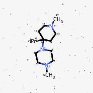 CC(C)C1(N2CCN(C)CC2)CCN(C)CC1